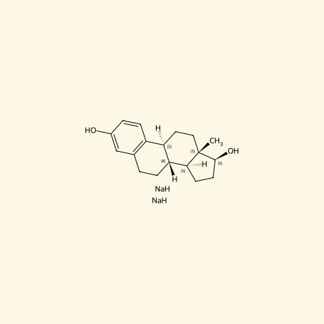 C[C@]12CC[C@@H]3c4ccc(O)cc4CC[C@H]3[C@@H]1CC[C@@H]2O.[NaH].[NaH]